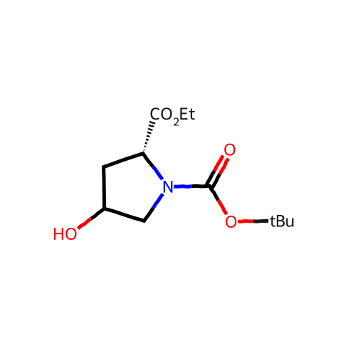 CCOC(=O)[C@H]1CC(O)CN1C(=O)OC(C)(C)C